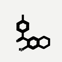 Cc1ccc(C(=O)c2cc3c(cc2N)CCCC3)cc1